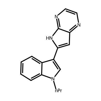 CCCn1cc(-c2cc3nccnc3[nH]2)c2ccccc21